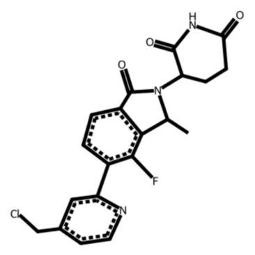 CC1c2c(ccc(-c3cc(CCl)ccn3)c2F)C(=O)N1C1CCC(=O)NC1=O